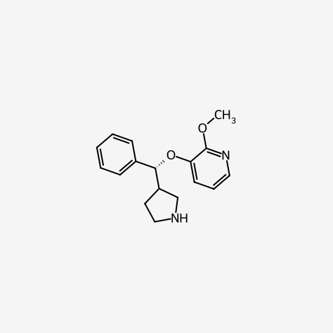 COc1ncccc1O[C@@H](c1ccccc1)C1CCNC1